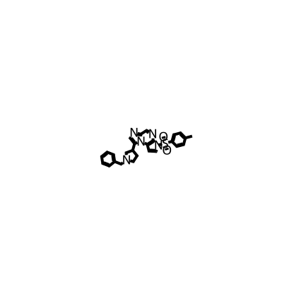 Cc1ccc(S(=O)(=O)n2ccc3c2ncc2ncc(C4CCN(Cc5ccccc5)C4)n23)cc1